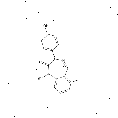 Cc1cccc2c1C=NC(c1ccc(O)cc1)C(=O)N2C(C)C